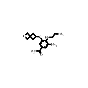 CCCNc1c(N)cc(C(N)=O)cc1OC1CC2(COC2)C1